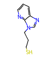 SCCCn1cnc2cccnc21